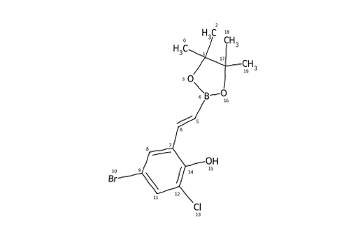 CC1(C)OB(/C=C/c2cc(Br)cc(Cl)c2O)OC1(C)C